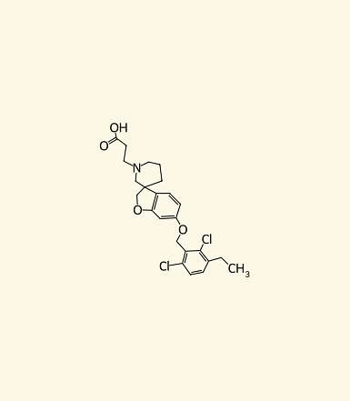 CCc1ccc(Cl)c(COc2ccc3c(c2)OCC32CCCN(CCC(=O)O)C2)c1Cl